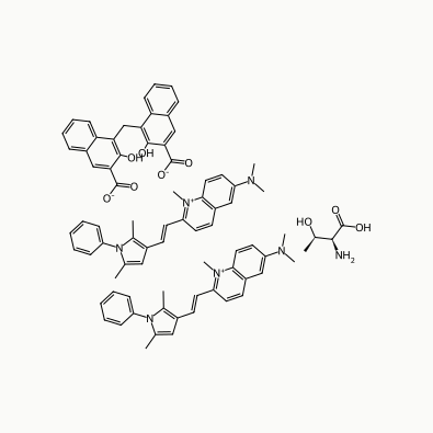 C[C@@H](O)[C@H](N)C(=O)O.Cc1cc(/C=C/c2ccc3cc(N(C)C)ccc3[n+]2C)c(C)n1-c1ccccc1.Cc1cc(/C=C/c2ccc3cc(N(C)C)ccc3[n+]2C)c(C)n1-c1ccccc1.O=C([O-])c1cc2ccccc2c(Cc2c(O)c(C(=O)[O-])cc3ccccc23)c1O